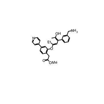 CC/C(=C\C(=C(/C)O)c1cccc(CN)c1)Oc1cc(-c2ccncc2)ccc1CC(=O)OC